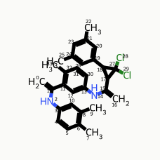 C=C(Nc1ccc(C)c(C)c1)c1cc(NC(=C)C2C(c3cc(C)cc(C)c3)C2(Cl)Cl)ccc1C